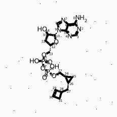 Nc1ncnc2c1ncn2[C@@H]1O[C@H](COP(=O)(O)OP(=O)(O)OCC2C[C@H]2CC2C=CC2)CC1O